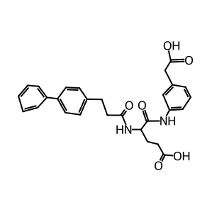 O=C(O)CCC(NC(=O)CCc1ccc(-c2ccccc2)cc1)C(=O)Nc1cccc(CC(=O)O)c1